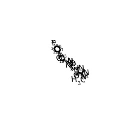 Cn1cnc2ncn(Cc3nc([C@@H]4CO[C@@H](c5ccc(F)cc5)C4)no3)c(=O)c21